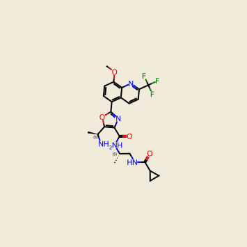 COc1ccc(-c2nc(C(=O)N[C@@H](C)CNC(=O)C3CC3)c([C@H](C)N)o2)c2ccc(C(F)(F)F)nc12